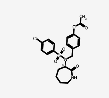 CC(=O)Oc1ccc(CN([C@@H]2CCCCNC2=O)S(=O)(=O)c2ccc(Cl)cc2)cc1